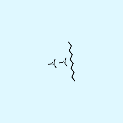 CCCCCCCCCC.CN(C)C.CN(C)C